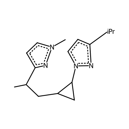 CC(C)c1ccn(C2CC2CC(C)c2ccn(C)n2)n1